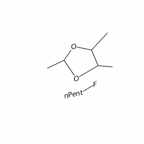 CC1OC(C)C(C)O1.CCCCCF